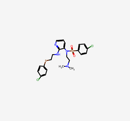 CN(C)CCN(c1cccnc1NCCSc1ccc(Cl)cc1)S(=O)(=O)c1ccc(Cl)cc1